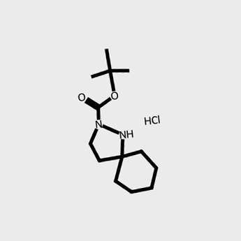 CC(C)(C)OC(=O)N1CCC2(CCCCC2)N1.Cl